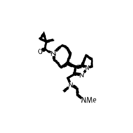 CNCCN(C)Cc1nn2c(c1C1CCN(C(=O)C3(C)CC3)CC1)CCC2